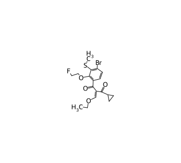 CCO/C=C(\C(=O)c1ccc(Br)c(SC)c1OCCF)C(=O)C1CC1